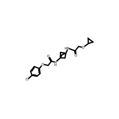 O=C(COc1ccc(Cl)cc1)NC12CC(NC(=O)COC3CC3)(C1)C2